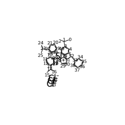 CC(C)c1cccc([Si](c2cccc(C(C)C)c2)(c2cccc(C(C)C)c2)[C]2([Ti+3])C=CC(Cc3ccccc3)=C2)c1.[Cl-].[Cl-].[Cl-]